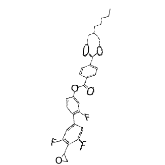 CCCCCC1COC(c2ccc(C(=O)Oc3ccc(-c4cc(F)c(C5CO5)c(F)c4)c(F)c3)cc2)OC1